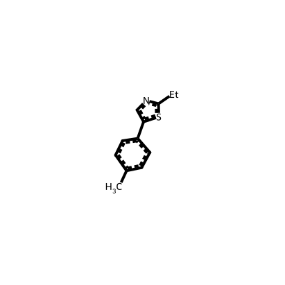 CCc1ncc(-c2ccc(C)cc2)s1